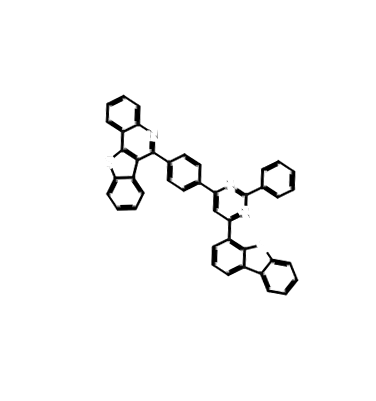 c1ccc(-c2nc(-c3ccc(-c4nc5ccccc5c5sc6ccccc6c45)cc3)cc(-c3cccc4c3sc3ccccc34)n2)cc1